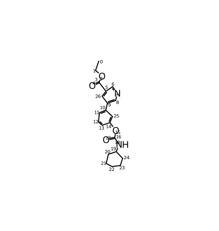 CCOC(=O)c1cncc(-c2cccc(OC(=O)NC3CCCCC3)c2)c1